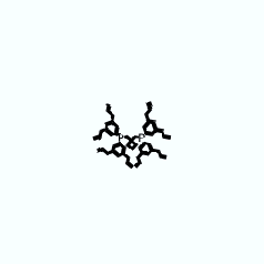 C=CCc1cc(CC=C)cc(P(CC2(CP(c3cc(CC=C)cc(CC=C)c3)c3cc(CC=C)cc(CC=C)c3)CCC2)c2cc(CC=C)cc(CC=C)c2)c1